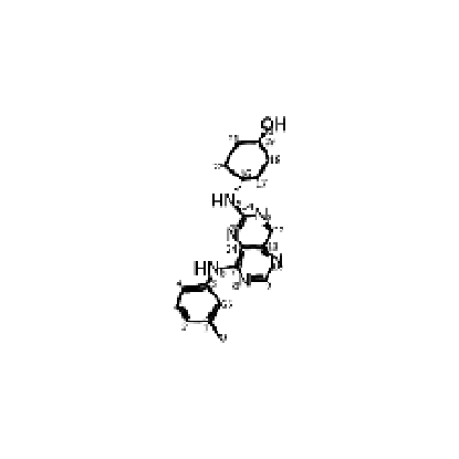 Cc1cccc(Nc2ncnc3cnc(N[C@H]4CC[C@H](O)CC4)nc23)c1